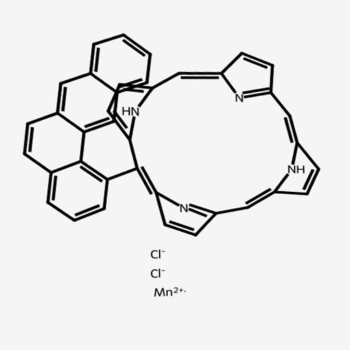 C1=Cc2cc3ccc([nH]3)c(-c3cccc4ccc5cc6ccccc6cc5c34)c3nc(cc4ccc(cc1n2)[nH]4)C=C3.[Cl-].[Cl-].[Mn+2]